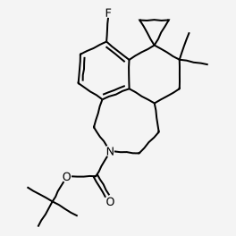 CC(C)(C)OC(=O)N1CCC2CC(C)(C)C3(CC3)c3c(F)ccc(c32)C1